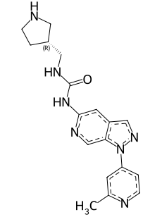 Cc1cc(-n2ncc3cc(NC(=O)NC[C@@H]4CCNC4)ncc32)ccn1